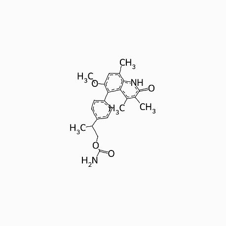 COc1cc(C)c2[nH]c(=O)c(C)c(C)c2c1-c1ccc(C(C)COC(N)=O)cc1